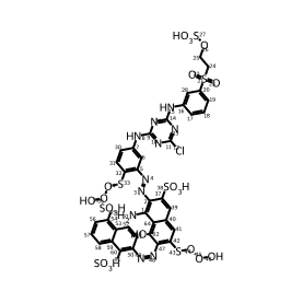 Nc1c(N=Nc2cc(Nc3nc(Cl)nc(Nc4cccc(S(=O)(=O)CCOS(=O)(=O)O)c4)n3)ccc2SOOO)c(S(=O)(=O)O)cc2cc(SOOO)c(/N=N\c3ccc4c(S(=O)(=O)O)cccc4c3S(=O)(=O)O)c(O)c12